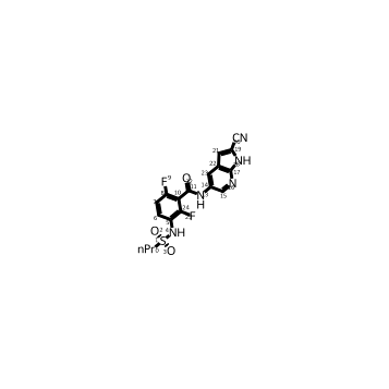 CCCS(=O)(=O)Nc1ccc(F)c(C(=O)Nc2cnc3[nH]c(C#N)cc3c2)c1F